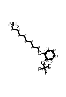 NCCCCCCCCOc1ccccc1OC(F)(F)F